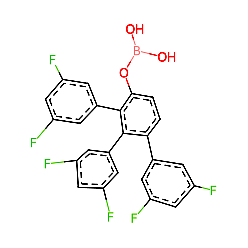 OB(O)Oc1ccc(-c2cc(F)cc(F)c2)c(-c2cc(F)cc(F)c2)c1-c1cc(F)cc(F)c1